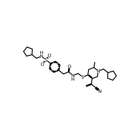 C=C(C#N)C1=C(SCNC(=O)Cc2ccc(S(=O)(=O)NCC3CCCC3)cc2)CC(C)N(CC2CCCC2)C1